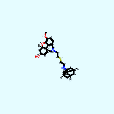 COc1ccc2c3c1O[C@H]1C[C@@H](O)C=C[C@@]31CCN(CCSCCNC13C[C@H]4C[C@@](C)(C1)C[C@](C)(C4)C3)C2